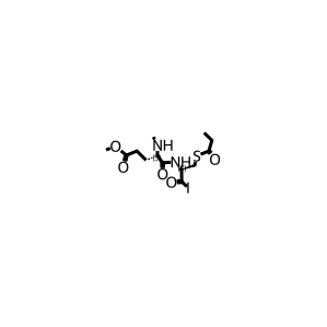 CCC(=O)SC[C@H](NC(=O)[C@H](CCC(=O)OC)NC)C(=O)I